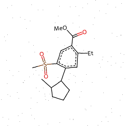 CCc1cc(C2CCCC2C)c(S(C)(=O)=O)cc1C(=O)OC